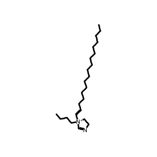 CCCCCCCCCCCCCCCC=C[N+]1(CCCC)C=NCC1